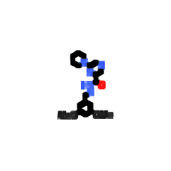 COc1cc(C=NNC(=O)c2cncc(N3CCCCC3)n2)cc(OC)c1